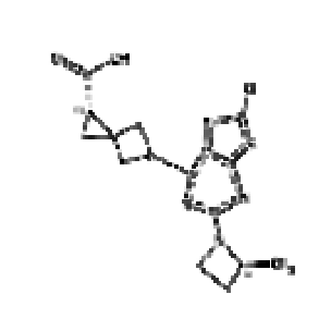 C[C@H]1CCN1c1nc(N2CC3(C[C@@H]3C(=O)O)C2)c2cc(Cl)sc2n1